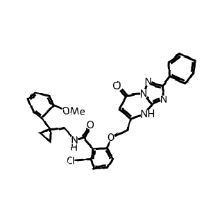 COc1ccccc1C1(CNC(=O)c2c(Cl)cccc2OCc2cc(=O)n3nc(-c4ccccc4)nc3[nH]2)CC1